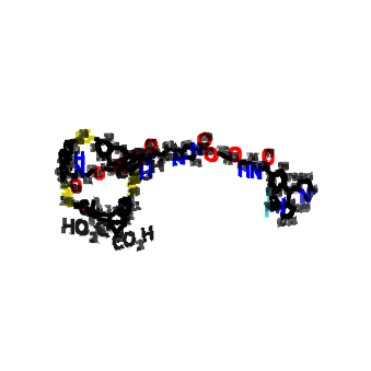 Cc1cc2cc3c1C1c4cc(ccc4C3C(C(=O)O)C1C(=O)O)SSc1ccc3c(c1)C1c4ccc(cc4C3C(C(=O)O)C1C(=O)O)SSc1ccc3cc(c(C(=O)NCCOCCOCCNC(=O)CCc4cn(C(=O)OCCOCCNC(=O)c5ccc(/C(=C6\C=CC=[N+]6C)c6cccn6B(F)F)cc5)cn4)cc3c1)SS2